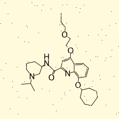 CCCOCCOc1cc(C(=O)N[C@@H]2CCCN(C(C)C)C2)nc2c(OC3CCCCCC3)cccc12